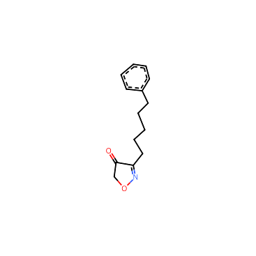 O=C1CON=C1CCCCCc1ccccc1